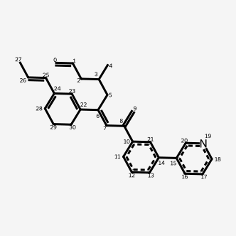 C=CCC(C)C/C(=C\C(=C)c1cccc(-c2cccnc2)c1)C1=CC(/C=C/C)=CCC1